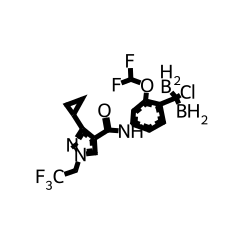 BC(B)(Cl)c1ccc(NC(=O)c2cn(CC(F)(F)F)nc2C2CC2)cc1OC(F)F